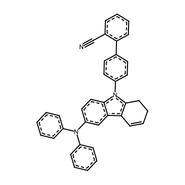 N#Cc1ccccc1-c1ccc(-n2c3c(c4cc(N(c5ccccc5)c5ccccc5)ccc42)C=CCC3)cc1